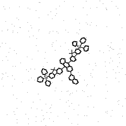 CC1(C)c2cc(-c3c4ccccc4c(-c4ccc5c(c4)C(C)(C)c4cc([Si](c6ccccc6)(c6ccccc6)c6ccccc6)ccc4-5)c4cc(-c5ccc6ccccc6c5)ccc34)ccc2-c2ccc([Si](c3ccccc3)(c3ccccc3)c3ccccc3)cc21